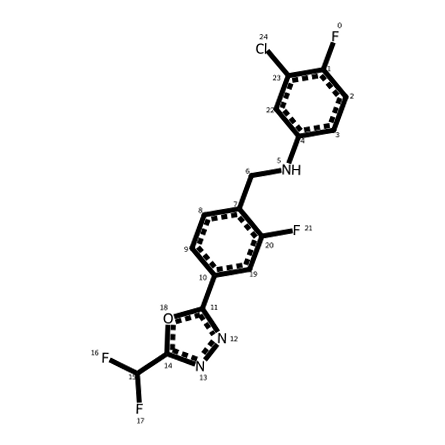 Fc1ccc(NCc2ccc(-c3nnc(C(F)F)o3)cc2F)cc1Cl